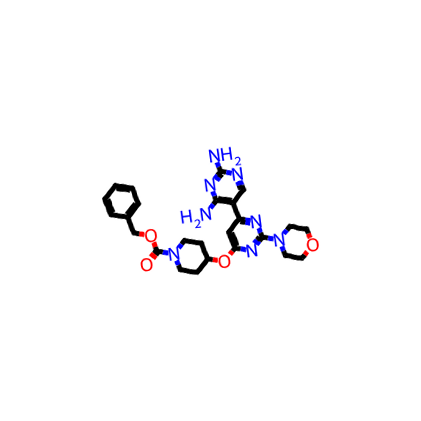 Nc1ncc(-c2cc(OC3CCN(C(=O)OCc4ccccc4)CC3)nc(N3CCOCC3)n2)c(N)n1